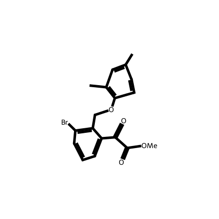 COC(=O)C(=O)c1cccc(Br)c1COc1ccc(C)cc1C